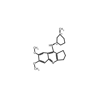 COc1cc2nc3c(c(N[C@@H]4CCC[C@H](C)C4)c2cc1OC)CCC3